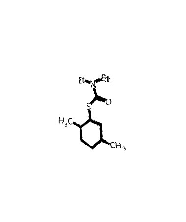 CCN(CC)C(=O)SC1CC(C)CCC1C